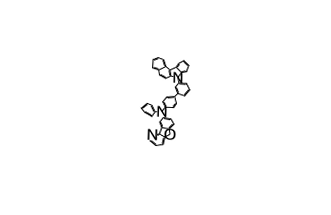 c1ccc(N(c2ccc(-c3cccc(-n4c5ccccc5c5c6ccccc6ccc54)c3)cc2)c2ccc3oc4cccnc4c3c2)cc1